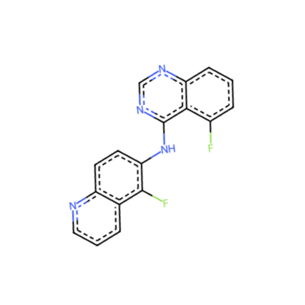 Fc1c(Nc2ncnc3cccc(F)c23)ccc2ncccc12